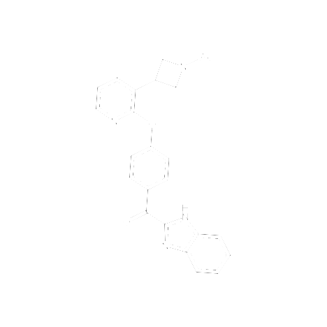 CC(=O)N1CC(c2cccnc2Oc2ccc(C(=O)c3nc4ccccc4[nH]3)cc2)C1